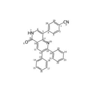 N#Cc1ccc(-c2c[nH]c(=O)c3cc(-c4ccccc4)c(-c4cc[c]cc4)nc23)cc1